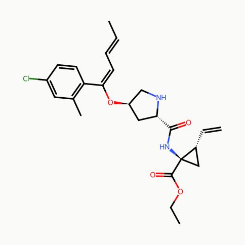 C=C[C@@H]1C[C@]1(NC(=O)[C@@H]1C[C@@H](O/C(=C/C=CC)c2ccc(Cl)cc2C)CN1)C(=O)OCC